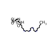 CCCCC/C=C\C/C=C\C/C=C\C/C=C\CCCC(=O)Nc1ncc([N+](=O)[O-])s1